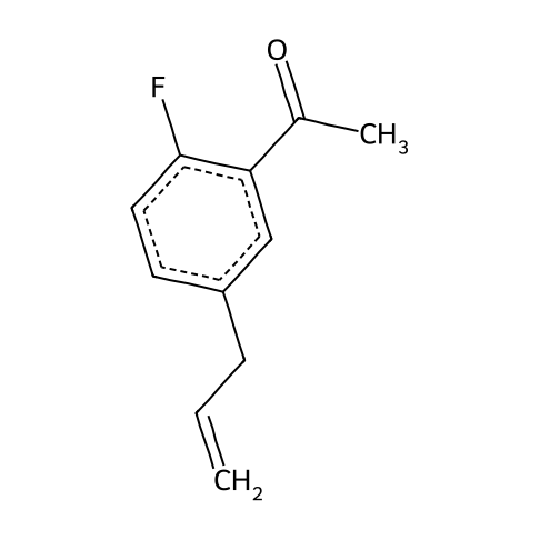 C=CCc1ccc(F)c(C(C)=O)c1